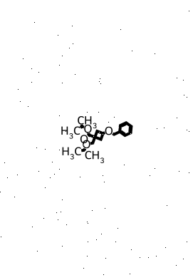 CC(C)OCC1(C(=O)OC(C)C)CC(OCc2ccccc2)C1